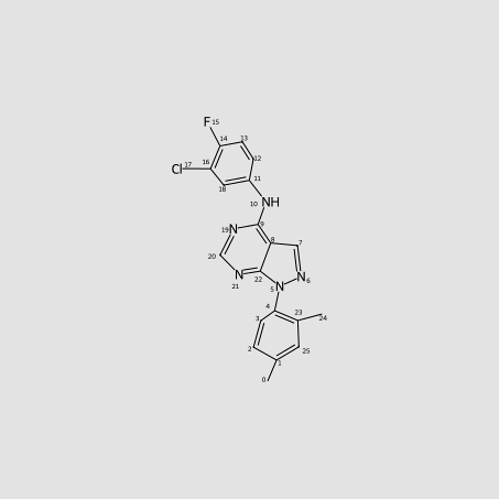 Cc1ccc(-n2ncc3c(Nc4ccc(F)c(Cl)c4)ncnc32)c(C)c1